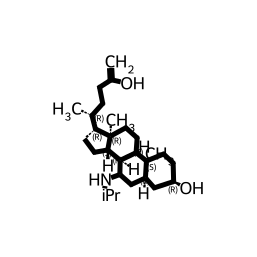 C=C(O)CC[C@@H](C)[C@H]1CC[C@H]2[C@@H]3C(NC(C)C)C[C@@H]4C[C@H](O)CC[C@]4(C)[C@H]3CC[C@]12C